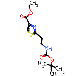 CCOC(=O)c1csc(CCNC(=O)OC(C)(C)C)n1